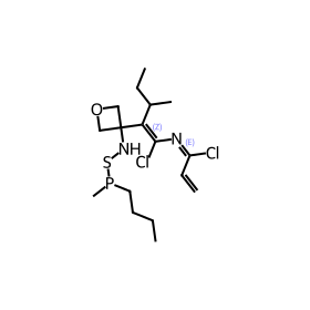 C=C/C(Cl)=N\C(Cl)=C(/C(C)CC)C1(NSP(C)CCCC)COC1